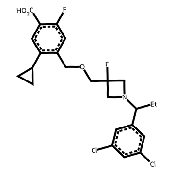 CCC(c1cc(Cl)cc(Cl)c1)N1CC(F)(COCc2cc(F)c(C(=O)O)cc2C2CC2)C1